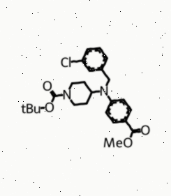 COC(=O)c1ccc(N(Cc2cccc(Cl)c2)C2CCN(C(=O)OC(C)(C)C)CC2)cc1